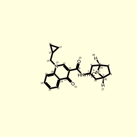 CN1[C@@H]2CC[C@H]1CC(NC(=O)c1cn(CC3CC3)c3ccccc3c1=O)C2